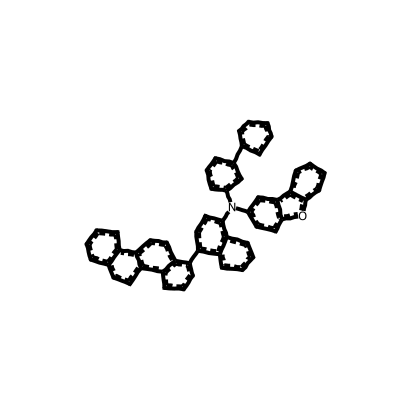 c1ccc(-c2cccc(N(c3ccc4oc5ccccc5c4c3)c3ccc(-c4cccc5c4ccc4c6ccccc6ccc54)c4ccccc34)c2)cc1